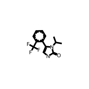 CC(C)N1C(=O)[N]C=C1c1ccccc1C(F)(F)F